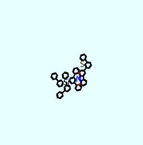 c1ccc(-c2cccc([Si](c3ccccc3)(c3cccc(-c4ccccc4)c3)c3cc(-c4ccccc4)c(-n4c5ccccc5c5cc(-c6cccc7c6sc6ccccc67)ccc54)c(-c4ccccc4)c3)c2)cc1